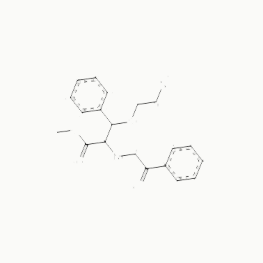 COC(=O)C(NCC(=O)c1ccccc1)C(SCCN)c1ccccc1